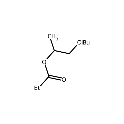 CCC(=O)OC(C)COCC(C)C